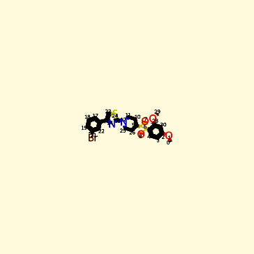 COc1ccc(S(=O)(=O)C2CCN(c3nc(-c4cccc(Br)c4)cs3)CC2)c(OC)c1